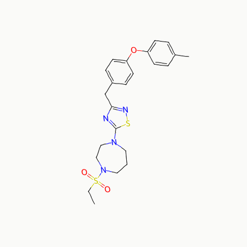 CCS(=O)(=O)N1CCCN(c2nc(Cc3ccc(Oc4ccc(C)cc4)cc3)ns2)CC1